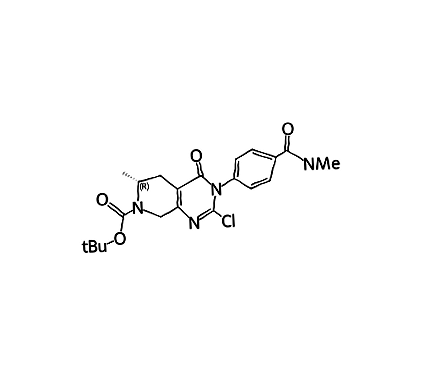 CNC(=O)c1ccc(-n2c(Cl)nc3c(c2=O)C[C@@H](C)N(C(=O)OC(C)(C)C)C3)cc1